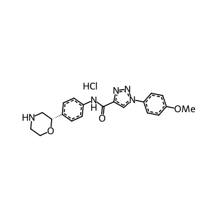 COc1ccc(-n2cc(C(=O)Nc3ccc([C@H]4CNCCO4)cc3)nn2)cc1.Cl